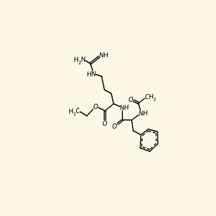 CCOC(=O)C(CCCNC(=N)N)NC(=O)C(Cc1ccccc1)NC(C)=O